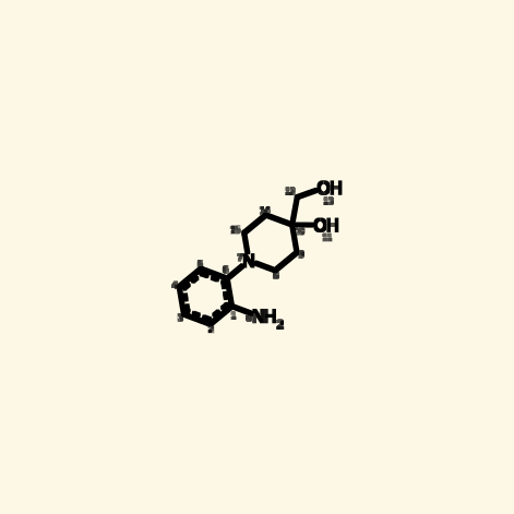 Nc1ccccc1N1CCC(O)(CO)CC1